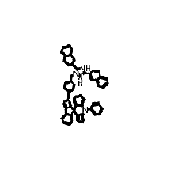 c1ccc(N2c3ccccc3C3(c4ccccc4-c4ccc(-c5ccc(CN6NC(c7ccc8ccccc8c7)NC6c6ccc7ccccc7c6)cc5)cc43)c3ccccc32)cc1